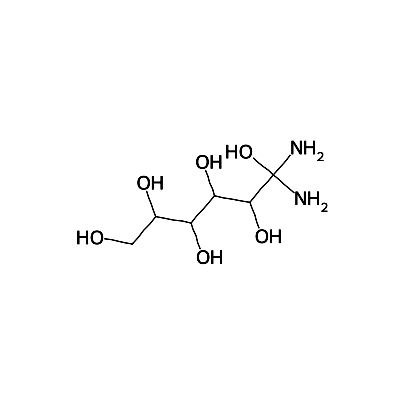 NC(N)(O)C(O)C(O)C(O)C(O)CO